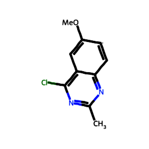 COc1[c]cc2nc(C)nc(Cl)c2c1